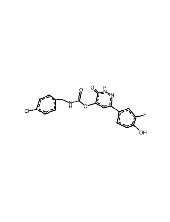 O=C(NCc1ccc(Cl)cc1)Oc1cc(-c2ccc(O)c(F)c2)n[nH]c1=O